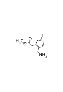 COC(=O)Cc1cc(I)ccc1CN